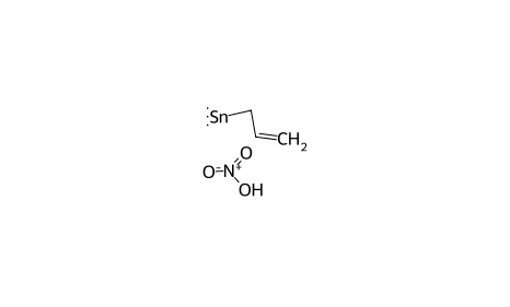 C=C[CH2][Sn].O=[N+]([O-])O